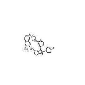 CCNc1nccc(-c2c(-c3ccc(F)cc3)nc3n2C(COc2nc4ccccc4cc2C)CC3)n1